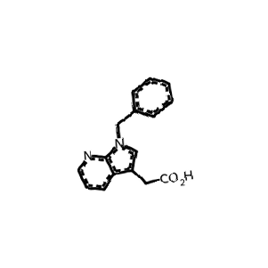 O=C(O)Cc1cn(Cc2ccccc2)c2ncccc12